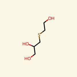 OCCSCC(O)CO